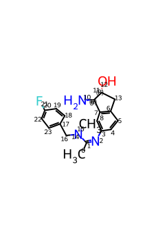 CC(=Nc1ccc2c(c1)[C@@H](N)[C@H](O)C2)N(C)Cc1ccc(F)cc1